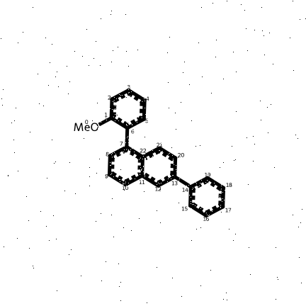 COc1ccccc1-c1cccc2cc(-c3ccccc3)ccc12